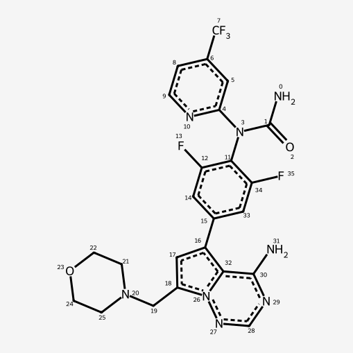 NC(=O)N(c1cc(C(F)(F)F)ccn1)c1c(F)cc(-c2cc(CN3CCOCC3)n3ncnc(N)c23)cc1F